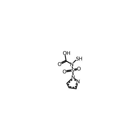 O=C(O)N(S)S(=O)(=O)n1cccn1